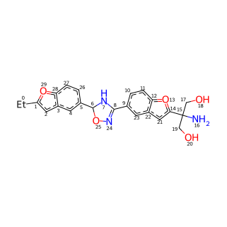 CCc1cc2cc(C3NC(c4ccc5oc(C(N)(CO)CO)cc5c4)=NO3)ccc2o1